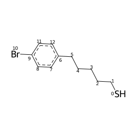 SCCCCCc1ccc(Br)cc1